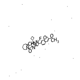 CC(=O)C1=Cc2ccc(-c3cc4nc(C(=O)N5CCCCC[C@H]5C)cc(C5CCC5)n4n3)c(F)c2OC1